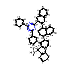 CC1(C)C2=C(CCC=C2)c2ccc(-c3ccc(-c4cc5ccccc5cc4-c4nc(-c5ccccc5)nc(-c5ccccc5)n4)c4ccccc34)cc21